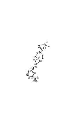 CC(C)(C)OC(=O)N1CCC2(CC1)CC(COc1cncc(C(F)(F)F)c1)C2